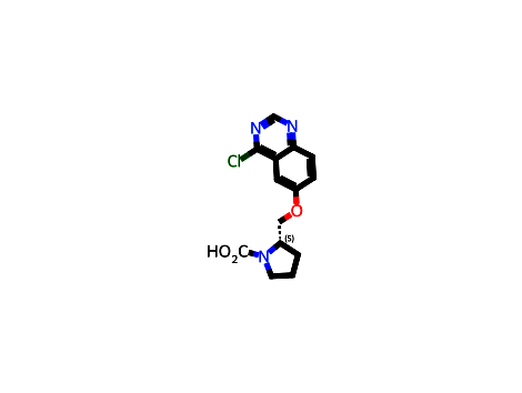 O=C(O)N1CCC[C@H]1COc1ccc2ncnc(Cl)c2c1